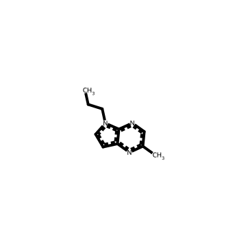 CCCn1ccc2nc(C)cnc21